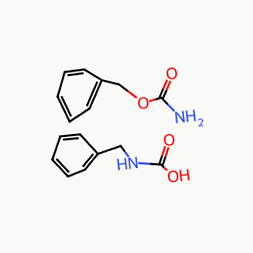 NC(=O)OCc1ccccc1.O=C(O)NCc1ccccc1